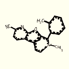 Cc1ccccc1-c1c2oc3nc(C#N)ccc3c2cc[n+]1C